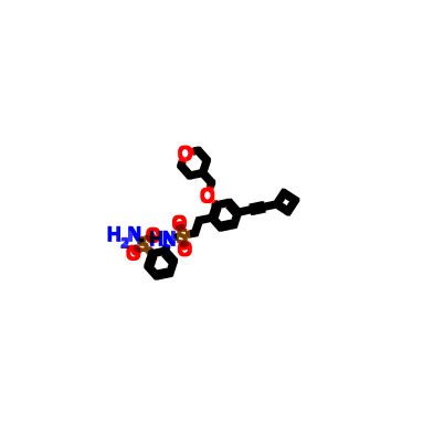 NS(=O)(=O)c1ccccc1NS(=O)(=O)CCc1ccc(C#CC2CCC2)cc1OCC1CCOCC1